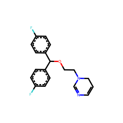 Fc1ccc(C(OCCN2C=NC=CC2)c2ccc(F)cc2)cc1